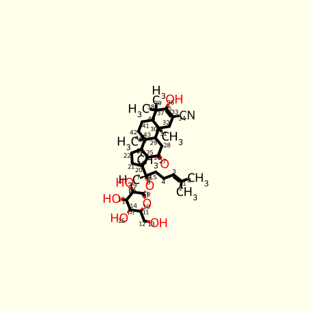 CC(C)=CCC[C@](C)(O[C@@H]1OC(CO)[C@@H](O)C(O)[C@H]1O)C1CC[C@]2(C)C1C(=O)CC1[C@@]3(C)CC(C#N)=C(O)C(C)(C)C3CC[C@]12C